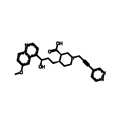 COc1ccc2nccc([C@H](O)CC[C@@H]3CCN(CC#Cc4ccnnc4)C[C@@H]3C(=O)O)c2c1